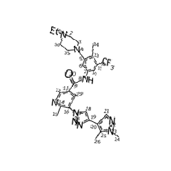 CCN1CCN(c2cc(NC(=O)c3cnc(C)c(-n4cc(-c5cnn(C)c5C)nn4)c3)cc(C(F)(F)F)c2C)CC1